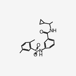 Cc1ccc(C)c(S(=O)(=O)Nc2cccc(C(=O)NC(C)C3CC3)c2)c1